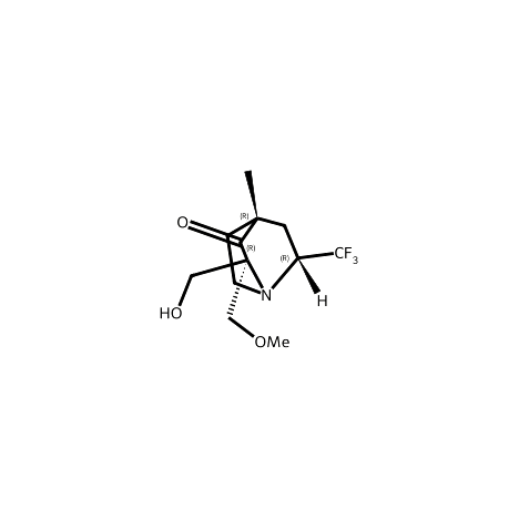 COC[C@]1(CO)C(=O)[C@]2(C)CCN1[C@@H](C(F)(F)F)C2